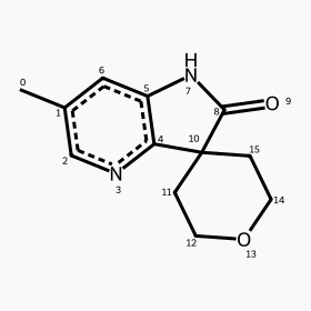 Cc1cnc2c(c1)NC(=O)C21CCOCC1